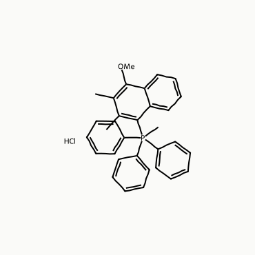 COc1c(C)c(C)c(P(C)(c2ccccc2)(c2ccccc2)c2ccccc2)c2ccccc12.Cl